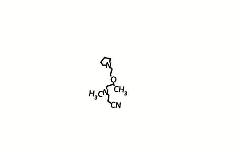 CC(CN(C)CCC#N)OCCN1CCCC1